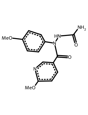 COc1ccc(N(NC(N)=O)C(=O)c2ccc(OC)nc2)cc1